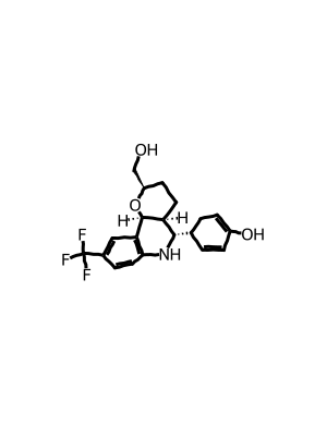 OC[C@H]1CC[C@@H]2[C@H](O1)c1cc(C(F)(F)F)ccc1N[C@H]2C1C=CC(O)=CC1